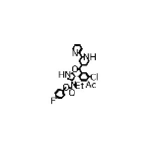 CCN(C(=O)Oc1ccc(F)cc1)[C@H]1CNC[C@@H]1c1cc(C(C)=O)c(Cl)cc1C(=O)C1CCNC(c2ccccn2)C1